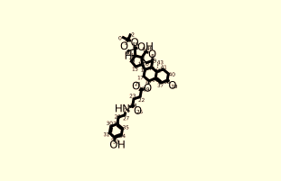 CC1(C)OC[C@]2(O[C@H]3OC4C[C@]35C(CC[C@H]25)C2C[C@H](OC(=O)CCC(=O)NCCc3ccc(O)cc3)C3=CC(=O)CC[C@]3(C)C42)O1